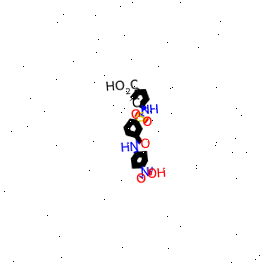 O=C(O)c1ccc(NS(=O)(=O)c2cccc(C(=O)Nc3ccc([N+](=O)O)cc3)c2)cc1